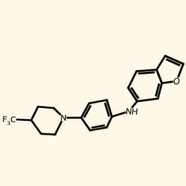 FC(F)(F)C1CCN(c2ccc(Nc3ccc4ccoc4c3)cc2)CC1